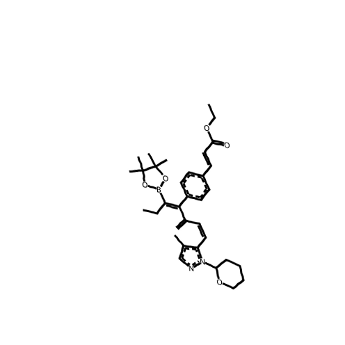 C=C(/C=C\c1c(C)cnn1C1CCCCO1)/C(=C(\CC)B1OC(C)(C)C(C)(C)O1)c1ccc(/C=C/C(=O)OCC)cc1